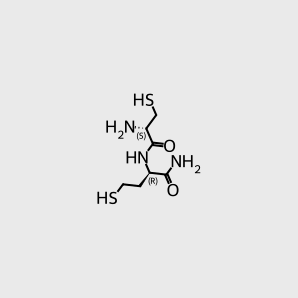 NC(=O)[C@@H](CCS)NC(=O)[C@H](N)CS